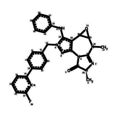 C[C@H]1N=C2N(C1=O)c1nn(Cc3ccc(-c4cccc(F)n4)cc3)c(Nc3ccccc3)c1C1OC1N2C